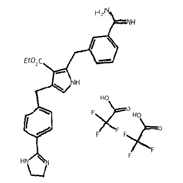 CCOC(=O)c1c(Cc2ccc(C3=NCCN3)cc2)c[nH]c1Cc1cccc(C(=N)N)c1.O=C(O)C(F)(F)F.O=C(O)C(F)(F)F